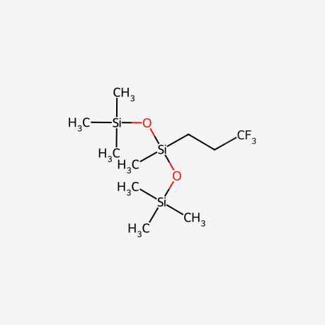 C[Si](C)(C)O[Si](C)(CCC(F)(F)F)O[Si](C)(C)C